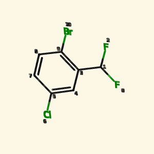 FC(F)c1cc(Cl)ccc1Br